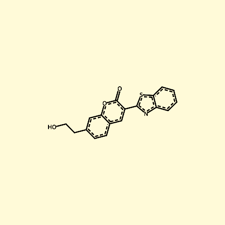 O=c1oc2cc(CCO)ccc2cc1-c1nc2ccccc2s1